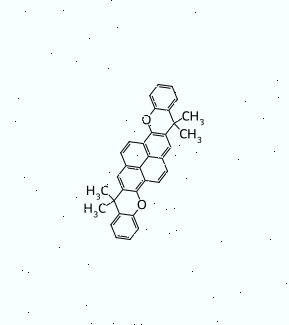 CC1(C)c2ccccc2Oc2c1cc1ccc3c4c(cc5ccc2c1c53)C(C)(C)c1ccccc1O4